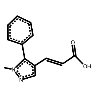 Cn1ncc(C=CC(=O)O)c1-c1ccccc1